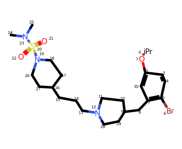 CC(C)Oc1ccc(Br)c(CC2CCN(CCCC3CCN(S(=O)(=O)N(C)C)CC3)CC2)c1